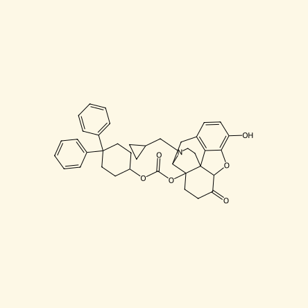 O=C(OC1CCC(c2ccccc2)(c2ccccc2)CC1)OC12CCC(=O)C3Oc4c(O)ccc5c4C31CCN(CC1CC1)C2C5